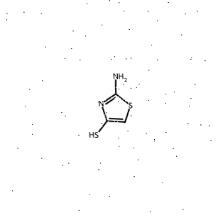 Nc1nc(S)cs1